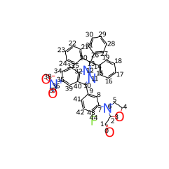 O=CC1OCCN1c1cc(-c2nn(C(c3ccccc3)(c3ccccc3)c3ccccc3)c3ccc([N+](=O)[O-])cc23)ccc1F